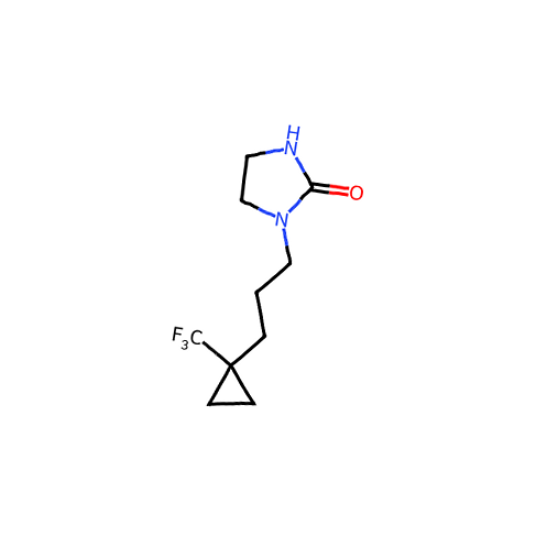 O=C1NCCN1CCCC1(C(F)(F)F)CC1